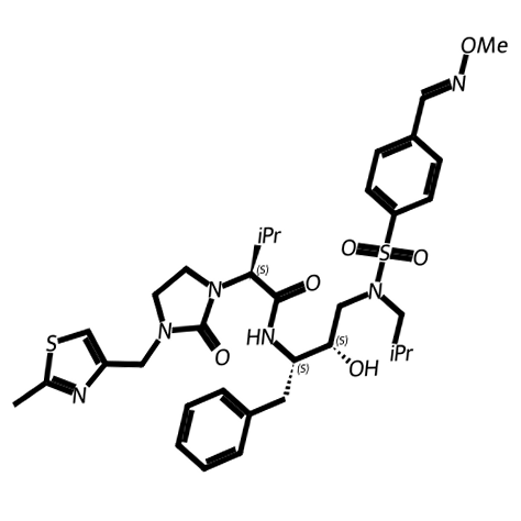 CON=Cc1ccc(S(=O)(=O)N(CC(C)C)C[C@H](O)[C@H](Cc2ccccc2)NC(=O)[C@H](C(C)C)N2CCN(Cc3csc(C)n3)C2=O)cc1